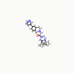 CC1CCCC1N1CCN(C(=O)CN2CCc3cc(-c4cncnc4)ccc3C2)C[C@@H]1C